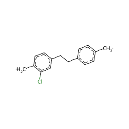 [CH2]c1ccc(CCc2ccc([CH2])c(Cl)c2)cc1